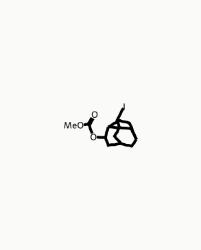 COC(=O)OC1CC2CC3CCC1C(CI)(C3)C2